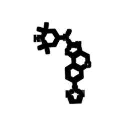 CN(c1nc2c(s1)-c1ccc(-n3nccn3)cc1OC2)C1CC(C)(C)NC(C)(C)C1